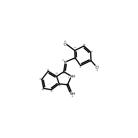 N=C1NC(=Nc2cc(Cl)ccc2Cl)c2ccccc21